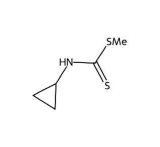 CSC(=S)NC1CC1